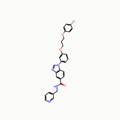 O=C(NCc1cccnc1)c1ccc2c(c1)ncn2-c1cccc(OCCCOc2ccc(Cl)cc2)c1